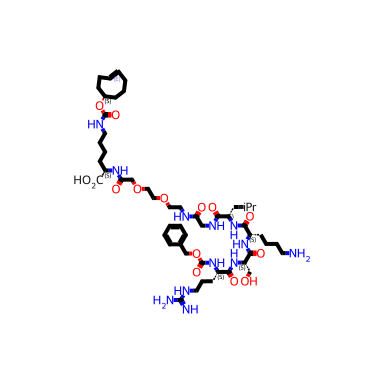 CC(C)C[C@H](NC(=O)[C@H](CCCCN)NC(=O)[C@H](CO)NC(=O)[C@H](CCCNC(=N)N)NC(=O)OCc1ccccc1)C(=O)NCC(=O)NCCOCCOCC(=O)N[C@@H](CCCCNC(=O)O[C@@H]1CC/C=C/CCC1)C(=O)O